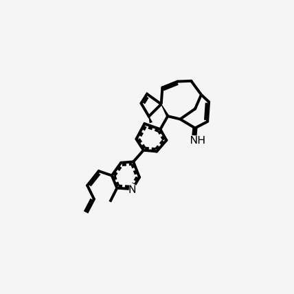 C=C/C=C\c1cc(-c2ccc(C3C4CC(C=CC4=N)C/C=C\[C@]34C=C[C@@H]4C)cc2)cnc1C